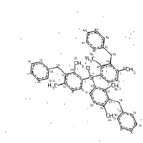 Cc1ccc([Si](Cl)(c2ccc(C)c(Cc3ccccc3)c2C)c2ccc(C)c(Cc3ccccc3)c2C)c(C)c1Cc1ccccc1